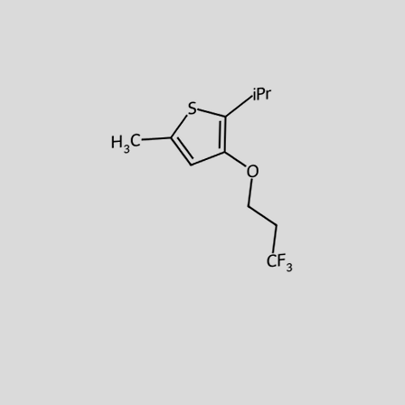 Cc1cc(OCCC(F)(F)F)c(C(C)C)s1